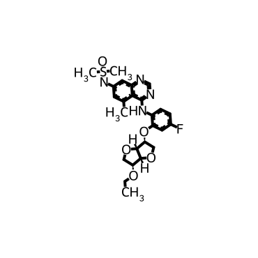 CCO[C@@H]1CO[C@H]2[C@@H]1OC[C@H]2Oc1cc(F)ccc1Nc1ncnc2cc(N=S(C)(C)=O)cc(C)c12